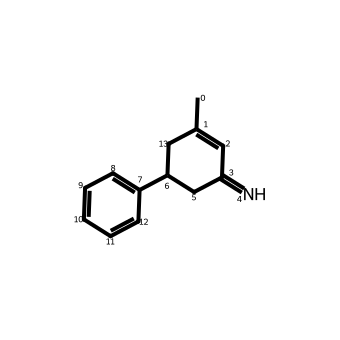 CC1=CC(=N)CC(c2ccccc2)C1